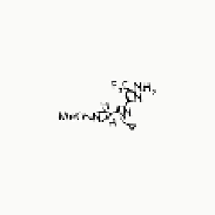 COCCN1C[C@@H]2C(c3cc(-c4cnc(N)c(C(F)(F)F)c4)nn3CC3CC3)[C@@H]2C1